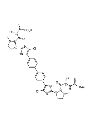 COC(=O)N[C@H](C(=O)N1[C@H](c2nc(Cl)c(-c3ccc(-c4ccc(-c5[nH]c([C@@H]6CCN(C)N6C(=O)[C@H](C(C)C)N(C)C(=O)O)nc5Cl)cc4)cc3)[nH]2)CCN1C)C(C)C